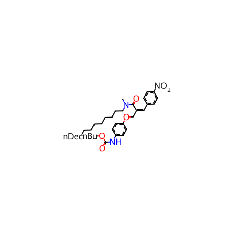 CCCCCCCCCCCCCCCCCCN(C)C(=O)C(=Cc1ccc([N+](=O)[O-])cc1)COc1ccc(NC(=O)OCCCC)cc1